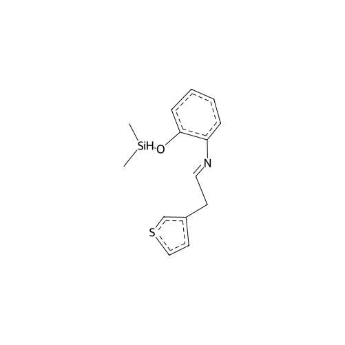 C[SiH](C)Oc1ccccc1N=CCc1ccsc1